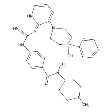 CN1CCC(N(C)C(=O)c2ccc(NC(=N)/N=c3\[nH]cccc3N3CCC(O)(c4ccccc4)CC3)cc2)CC1